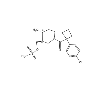 C[C@@H]1CCN(C(=O)C2(c3ccc(Cl)cc3)CCC2)C[C@H]1COS(C)(=O)=O